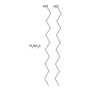 CCCCCCCCCCCO.CCCCCCCCCCCO.S.S